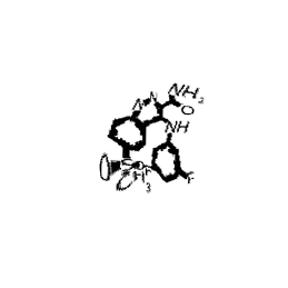 CS(=O)(=O)c1ccc2nnc(C(N)=O)c(Nc3cc(F)cc(F)c3)c2c1